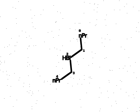 CCC[CH2][BiH][CH2]CCC